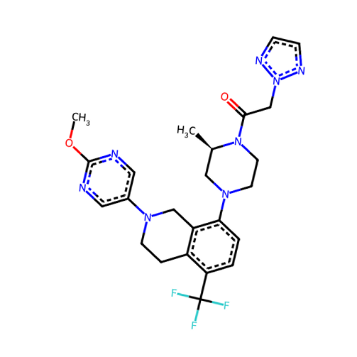 COc1ncc(N2CCc3c(C(F)(F)F)ccc(N4CCN(C(=O)Cn5nccn5)[C@H](C)C4)c3C2)cn1